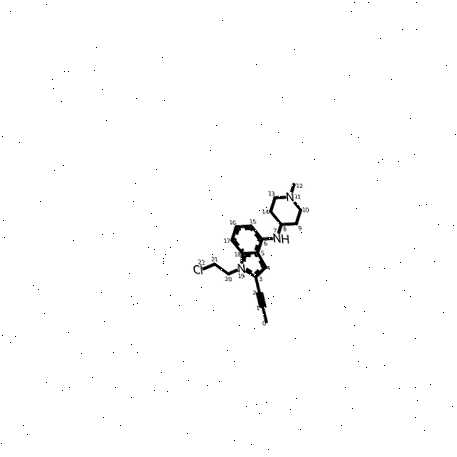 CC#Cc1cc2c(NC3CCN(C)CC3)cccc2n1CCCl